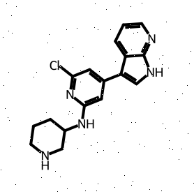 Clc1cc(-c2c[nH]c3ncccc23)cc(NC2CCCNC2)n1